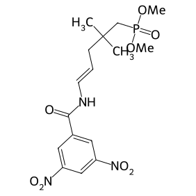 COP(=O)(CC(C)(C)CC=CNC(=O)c1cc([N+](=O)[O-])cc([N+](=O)[O-])c1)OC